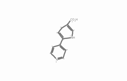 O=C(O)C1=CNC(c2ccncc2)=CC1